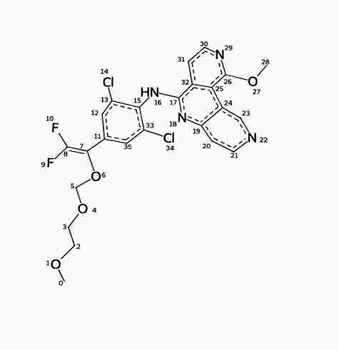 COCCOCOC(=C(F)F)c1cc(Cl)c(Nc2nc3ccncc3c3c(OC)nccc23)c(Cl)c1